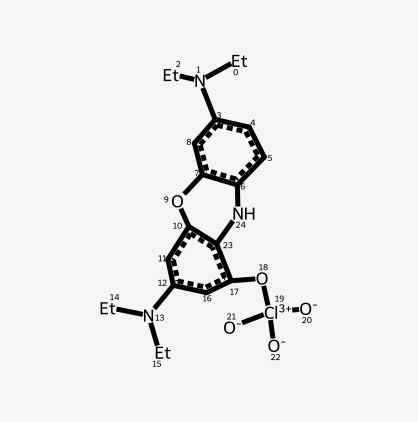 CCN(CC)c1ccc2c(c1)Oc1cc(N(CC)CC)cc(O[Cl+3]([O-])([O-])[O-])c1N2